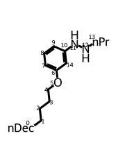 CCCCCCCCCCCCCCOc1cccc(NNCCC)c1